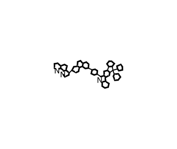 c1ccc(C2(c3ccccc3)c3ccccc3-c3cc4c(-c5ccc(-c6ccc7ccc8cc(-c9ccnc%10c9ccc9cccnc9%10)ccc8c7c6)cc5)nc5ccccc5c4cc32)cc1